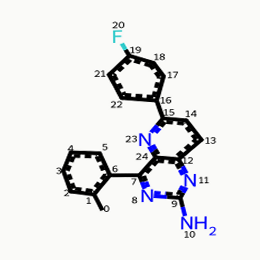 Cc1ccccc1-c1nc(N)nc2ccc(-c3ccc(F)cc3)nc12